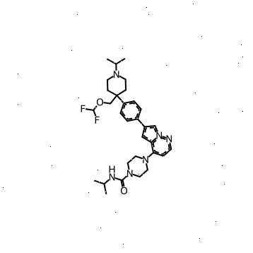 CC(C)NC(=O)N1CCN(c2ccnn3cc(-c4ccc(C5(COC(F)F)CCN(C(C)C)CC5)cc4)cc23)CC1